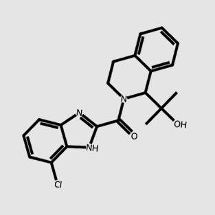 CC(C)(O)C1c2ccccc2CCN1C(=O)c1nc2cccc(Cl)c2[nH]1